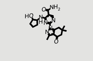 Cc1nn(-c2ncc(C(N)=O)c(NC3CCCC3O)n2)c2c1C(=O)CC(C)(C)C2